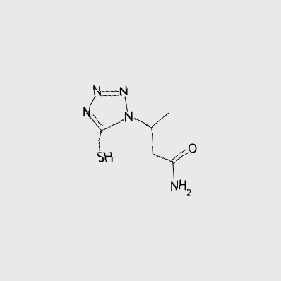 CC(CC(N)=O)n1nnnc1S